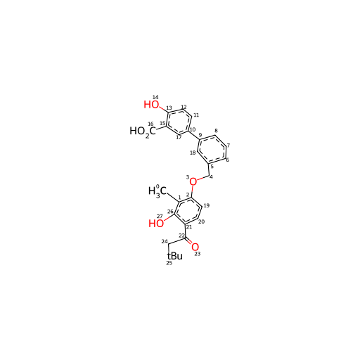 Cc1c(OCc2cccc(-c3ccc(O)c(C(=O)O)c3)c2)ccc(C(=O)CC(C)(C)C)c1O